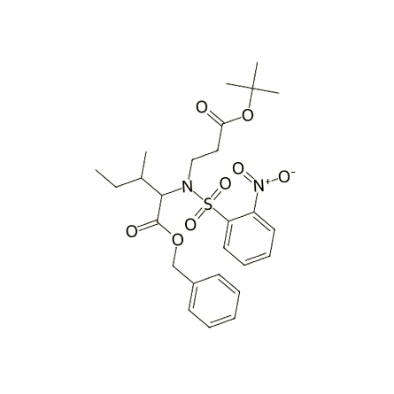 CCC(C)C(C(=O)OCc1ccccc1)N(CCC(=O)OC(C)(C)C)S(=O)(=O)c1ccccc1[N+](=O)[O-]